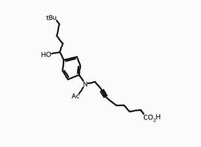 CC(=O)N(CC#CCCCCC(=O)O)c1ccc(C(O)CCCC(C)(C)C)cc1